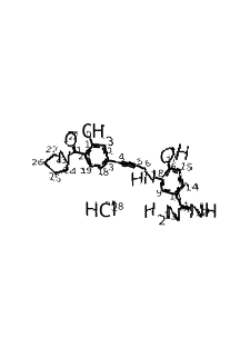 Cc1cc(C#CCNc2cc(C(=N)N)ccc2O)ccc1C(=O)N1CCCC1.Cl